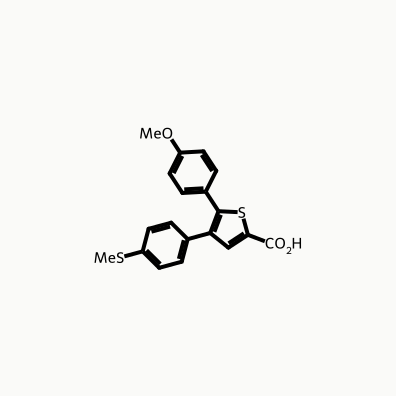 COc1ccc(-c2sc(C(=O)O)cc2-c2ccc(SC)cc2)cc1